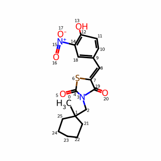 CC1(CN2C(=O)SC(=Cc3ccc(O)c([N+](=O)[O-])c3)C2=O)CCCCC1